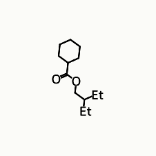 CCC(CC)COC(=O)C1CCCCC1